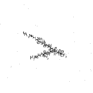 NCCCC[C@H](N)C(=O)NCCC(=O)NCCCC[C@H](NC(=O)CCNC(=O)[C@@H](N)CCCCN)C(=O)NCCC(=O)OC(=O)C(F)(F)F